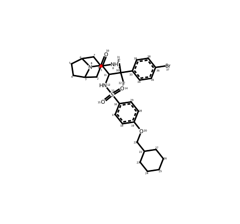 NC1CC2CCC(C1)N2C(=O)C(NS(=O)(=O)c1ccc(OCC2CCCCC2)cc1)C(F)(F)c1ccc(Br)cc1